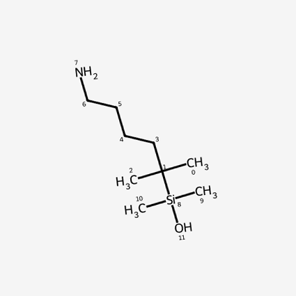 CC(C)(CCCCN)[Si](C)(C)O